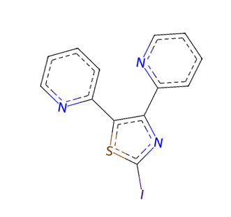 Ic1nc(-c2ccccn2)c(-c2ccccn2)s1